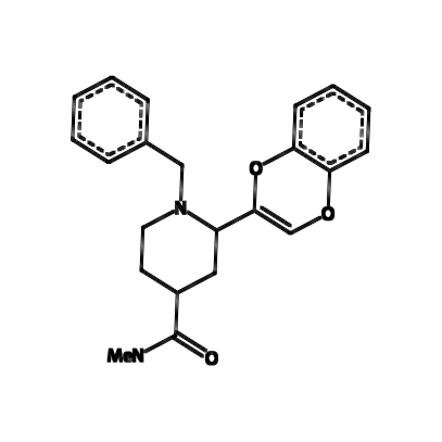 CNC(=O)C1CCN(Cc2ccccc2)C(C2=COc3ccccc3O2)C1